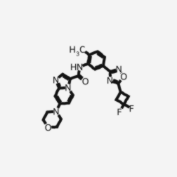 Cc1ccc(-c2noc(C3CC(F)(F)C3)n2)cc1NC(=O)c1cnc2cc(N3CCOCC3)ccn12